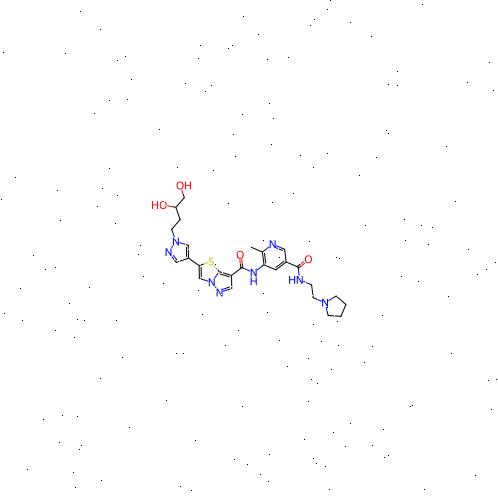 Cc1ncc(C(=O)NCCN2CCCC2)cc1NC(=O)c1cnn2cc(-c3cnn(CCC(O)CO)c3)sc12